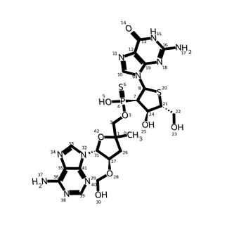 CC1(COP(O)(=S)[C@H]2C(n3cnc4c(=O)[nH]c(N)nc43)S[C@H](CO)[C@H]2O)C[C@@H](OCO)[C@H](n2cnc3c(N)ncnc32)O1